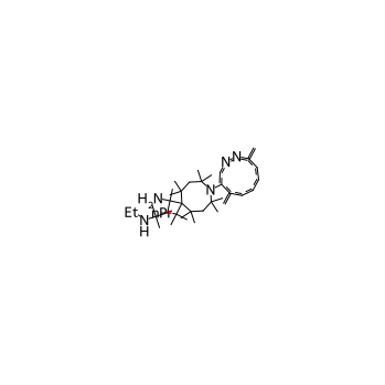 C=c1ccccc(=C)c(N2C(C)(C)CC(C)(C)C(C(C)(C)CCC)(C(C)(N)CC(C)(C)NCC)C(C)(C)CC2(C)C)cnn1